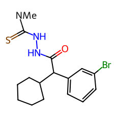 CNC(=S)NNC(=O)C(c1cccc(Br)c1)C1CCCCC1